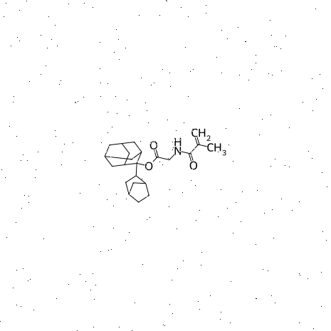 C=C(C)C(=O)NCC(=O)OC1(C2CC3CCC2C3)C2CC3CC(C2)CC1C3